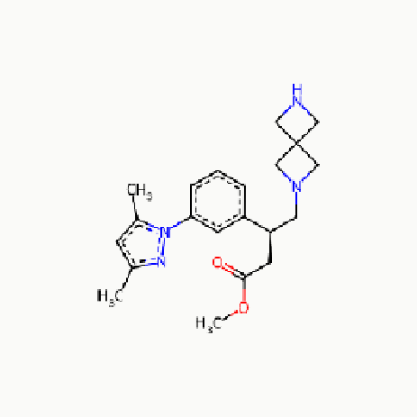 COC(=O)C[C@H](CN1CC2(CNC2)C1)c1cccc(-n2nc(C)cc2C)c1